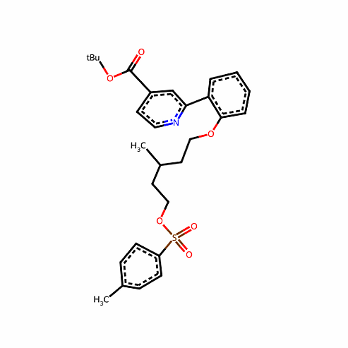 Cc1ccc(S(=O)(=O)OCCC(C)CCOc2ccccc2-c2cc(C(=O)OC(C)(C)C)ccn2)cc1